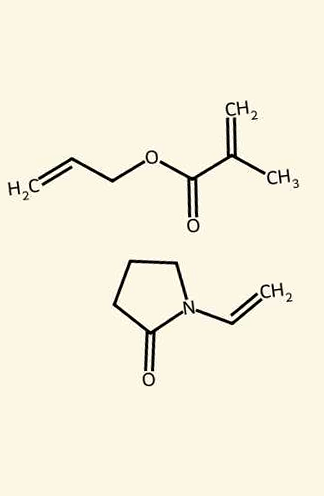 C=CCOC(=O)C(=C)C.C=CN1CCCC1=O